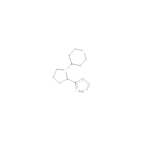 c1cc(C2CCCN2C2CCNCC2)no1